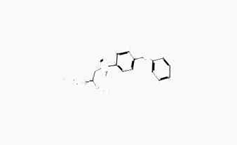 CC(=O)NC(CS(=O)(=O)c1ccc(Oc2ccccc2)cc1)C(=O)O